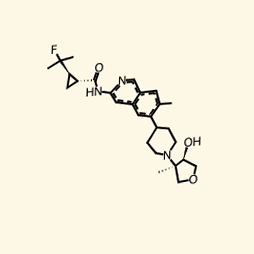 Cc1cc2cnc(NC(=O)[C@@H]3C[C@H]3C(C)(C)F)cc2cc1C1CCN([C@]2(C)COC[C@@H]2O)CC1